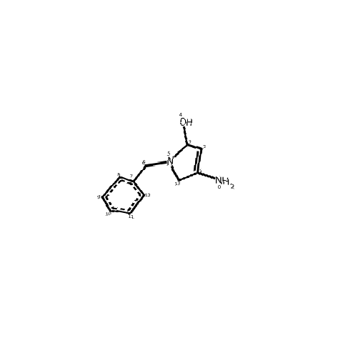 NC1=CC(O)N(Cc2ccccc2)C1